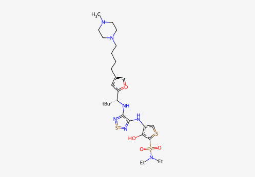 CCN(CC)S(=O)(=O)c1scc(Nc2nsnc2N[C@@H](c2cc(CCCCN3CCN(C)CC3)co2)C(C)(C)C)c1O